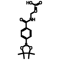 CC1(C)OB(c2ccc(C(=O)NCO[PH](=O)O)cc2)OC1(C)C